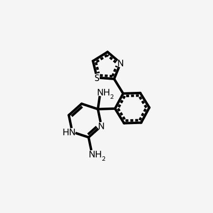 NC1=NC(N)(c2ccccc2-c2nccs2)C=CN1